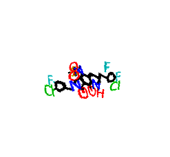 CN(c1c2c(c(O)c3ncc(Cc4cc(Cl)c(F)cc4F)cc13)C(=O)N(Cc1ccc(F)c(Cl)c1)C2)S(C)(=O)=O